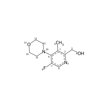 Cc1c(CO)ncc(F)c1N1CCOCC1